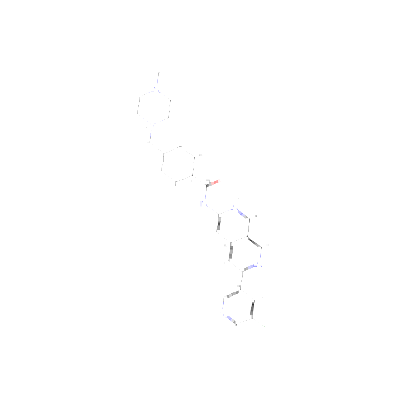 CN1CCN(CC2CCC(C(=O)Nc3cc4cc(-c5cncc(F)c5)ncc4cn3)CC2)CC1